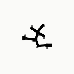 CC(C)N(CO)C(C)(C)C